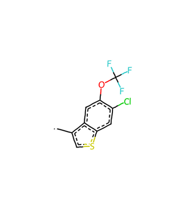 [CH2]c1csc2cc(Cl)c(OC(F)(F)F)cc12